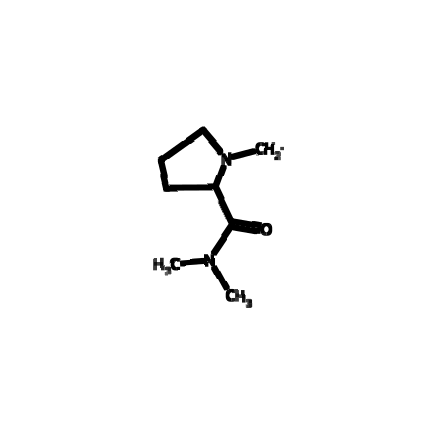 [CH2]N1CCCC1C(=O)N(C)C